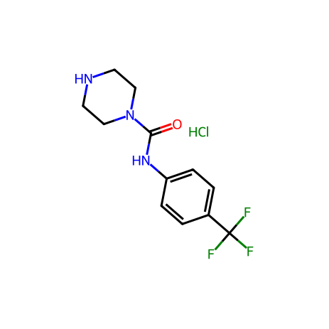 Cl.O=C(Nc1ccc(C(F)(F)F)cc1)N1CCNCC1